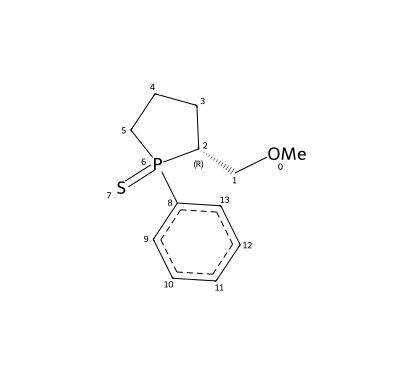 COC[C@H]1CCCP1(=S)c1ccccc1